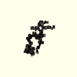 Cc1ccc(CCCC(=O)NCCCCC(NC(=O)CN2CCN(CC(=O)O)CCN(CC(=O)O)CCN(CC(=O)O)CC2)C(=O)NCCC(C)(C)OCN(C)OCc2cn(Cc3cccc4c3CN(C(=O)C[C@@H]3C[C@@H](C(=O)N5CC(F)(F)C[C@H]5C#N)NC3=O)C4)nn2)cc1